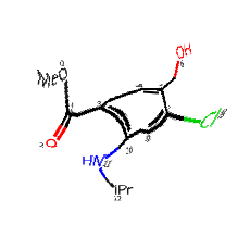 COC(=O)c1cc(O)c(Cl)cc1NC(C)C